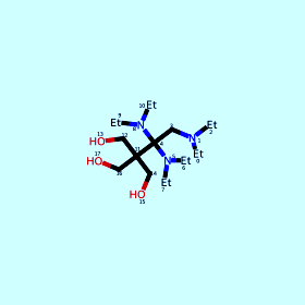 CCN(CC)CC(N(CC)CC)(N(CC)CC)C(CO)(CO)CO